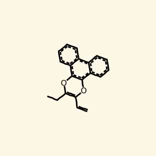 C=CC1=C(CC)Oc2c(c3ccccc3c3ccccc23)O1